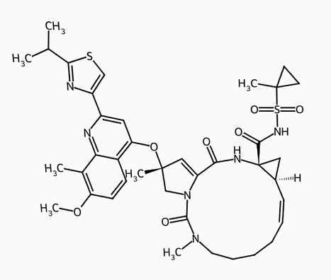 COc1ccc2c(O[C@]3(C)C=C4C(=O)N[C@]5(C(=O)NS(=O)(=O)C6(C)CC6)C[C@H]5/C=C\CCCCN(C)C(=O)N4C3)cc(-c3csc(C(C)C)n3)nc2c1C